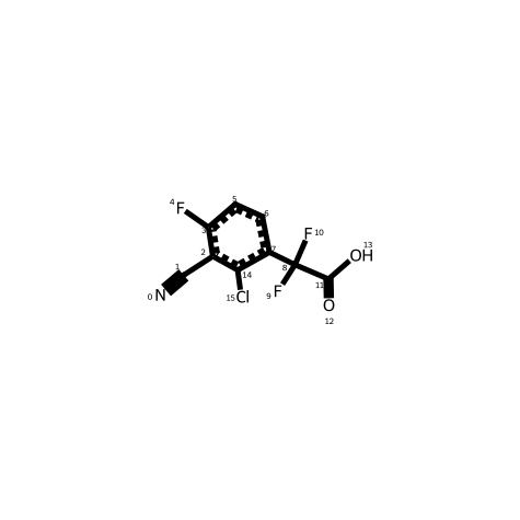 N#Cc1c(F)ccc(C(F)(F)C(=O)O)c1Cl